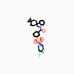 O=C(c1cccc(S(=O)(=O)N2CCC(F)(F)CC2)c1)N1CC2(CCC3(CC3)CC2)c2ccccc21